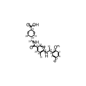 COc1ccc(F)cc1C(C)Nc1ncc(C(=O)NC[C@H]2CC[C@H](C(=O)O)CC2)cc1C